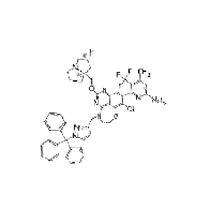 Cc1cc(N)nc(-c2cc3nc(OC[C@@]45CCCN4C[C@H](F)C5)nc4c3c(c2Cl)OCCN4Cc2ccn(C(c3ccccc3)(c3ccccc3)c3ccccc3)n2)c1C(F)(F)F